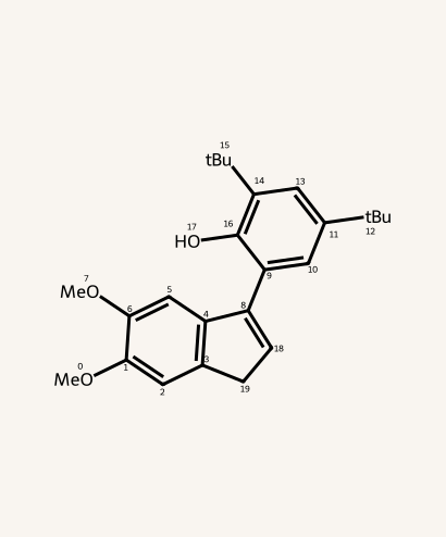 COc1cc2c(cc1OC)C(c1cc(C(C)(C)C)cc(C(C)(C)C)c1O)=CC2